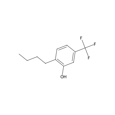 CCCCc1ccc(C(F)(F)F)cc1O